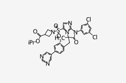 CC(C)OC(=O)C1CN(S(=O)(=O)c2cnc3n2C(C)(Cc2ccc(-c4cncnc4)cc2)C(=O)N3c2cc(Cl)cc(Cl)c2)C1